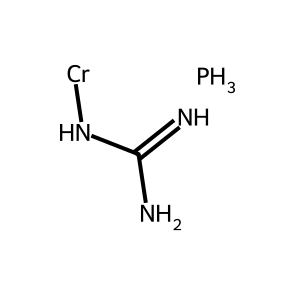 N=C(N)[NH][Cr].P